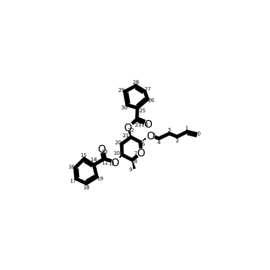 C=CCCCO[C@@H]1O[C@@H](C)[C@H](OC(=O)c2ccccc2)C[C@H]1OC(=O)c1ccccc1